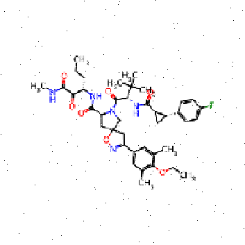 CCC[C@H](NC(=O)[C@@H]1C[C@]2(CC(c3cc(C)c(OCC)c(C)c3)=NO2)CN1C(=O)[C@@H](NC(=O)[C@@H]1C[C@H]1c1ccc(F)cc1)C(C)(C)C)C(=O)C(=O)NC